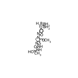 BC(B)(B)Oc1ccc2oc(N3CCc4nc(NC(=O)N[C@H](C)CO)sc4[C@@H]3COC)nc2c1